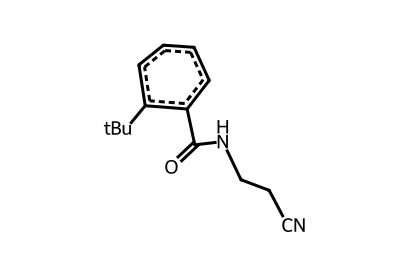 CC(C)(C)c1ccccc1C(=O)NCCC#N